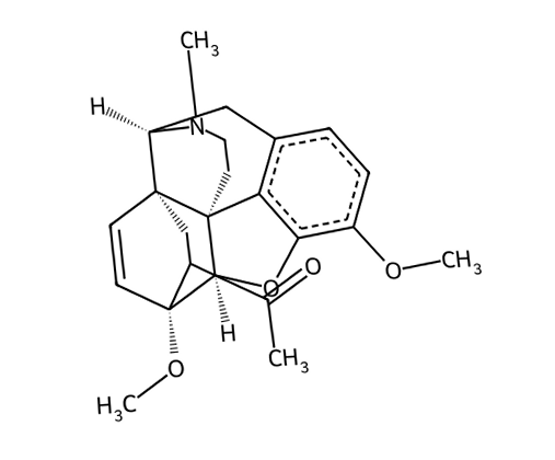 COc1ccc2c3c1O[C@@H]1[C@]34CCN(C)[C@H](C2)[C@]42C=C[C@@]1(OC)C(C(C)=O)C2